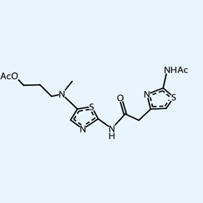 CC(=O)Nc1nc(CC(=O)Nc2ncc(N(C)CCCOC(C)=O)s2)cs1